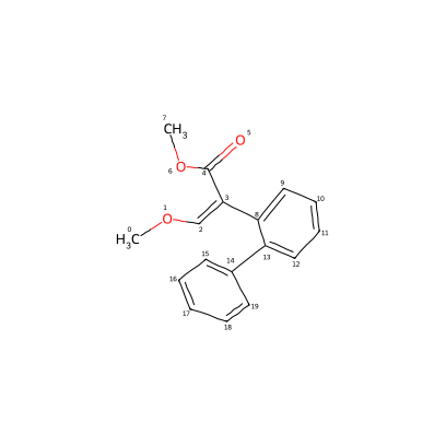 COC=C(C(=O)OC)c1ccccc1-c1ccccc1